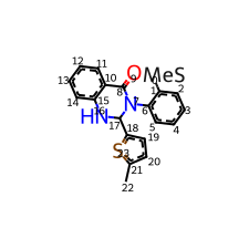 CSc1ccccc1N1C(=O)c2ccccc2NC1c1ccc(C)s1